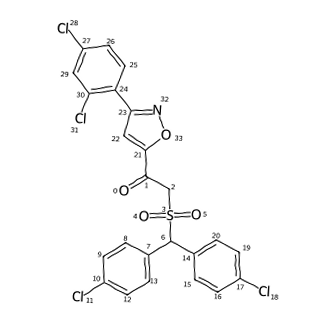 O=C(CS(=O)(=O)C(c1ccc(Cl)cc1)c1ccc(Cl)cc1)c1cc(-c2ccc(Cl)cc2Cl)no1